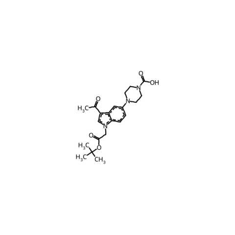 CC(=O)c1cn(CC(=O)OC(C)(C)C)c2ccc(N3CCN(C(=O)O)CC3)cc12